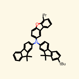 CC(C)c1cccc2c1oc1ccc(N(c3ccc4c(c3)C(C)(C)c3ccccc3-4)c3ccc4c(c3)C(C)(C)c3cc(C(C)(C)C)ccc3-4)cc12